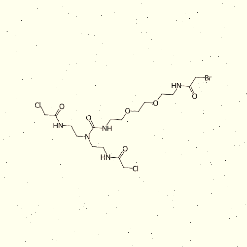 O=C(CCl)NCCN(CCNC(=O)CCl)C(=O)NCCOCCOCCNC(=O)CBr